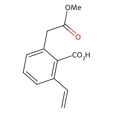 C=Cc1cccc(CC(=O)OC)c1C(=O)O